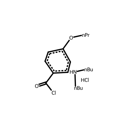 CCCCNCCCC.CCCOc1ccc(C(=O)Cl)cc1.Cl